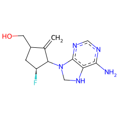 C=C1C(CO)C[C@H](F)C1N1CNc2c(N)ncnc21